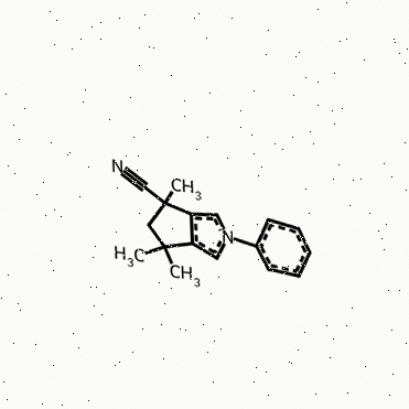 CC1(C)CC(C)(C#N)c2cn(-c3ccccc3)cc21